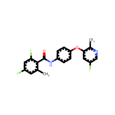 Cc1cc(F)cc(F)c1C(=O)Nc1ccc(Oc2cc(F)cnc2C(F)(F)F)cc1